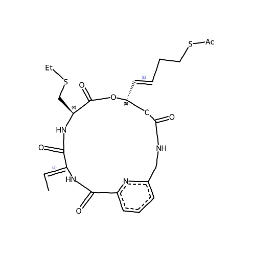 C/C=C1\NC(=O)c2cccc(n2)CNC(=O)C[C@@H](/C=C/CCSC(C)=O)OC(=O)[C@H](CSCC)NC1=O